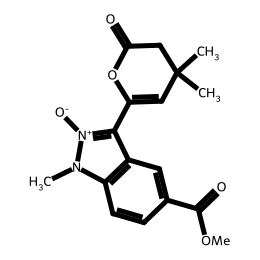 COC(=O)c1ccc2c(c1)c(C1=CC(C)(C)CC(=O)O1)[n+]([O-])n2C